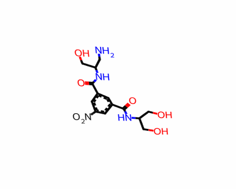 NCC(CO)NC(=O)c1cc(C(=O)NC(CO)CO)cc([N+](=O)[O-])c1